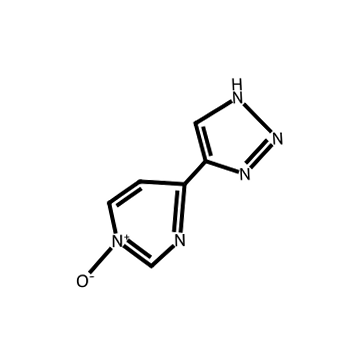 [O-][n+]1ccc(-c2c[nH]nn2)nc1